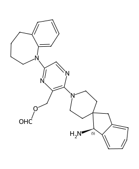 N[C@@H]1c2ccccc2CC12CCN(c1ncc(N3CCCCc4ccccc43)nc1COC=O)CC2